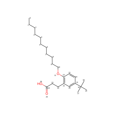 CCCCCCCCCCCOc1ccc(C(C)(C)C)cc1CCC(=O)O